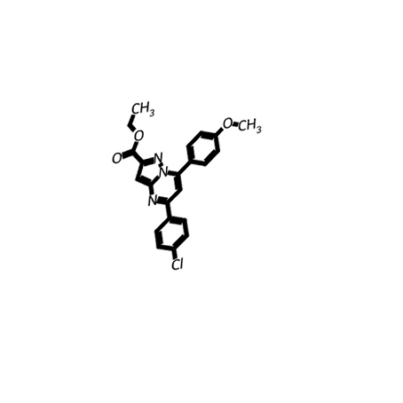 CCOC(=O)c1cc2nc(-c3ccc(Cl)cc3)cc(-c3ccc(OC)cc3)n2n1